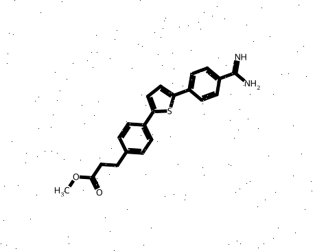 COC(=O)CCc1ccc(-c2ccc(-c3ccc(C(=N)N)cc3)s2)cc1